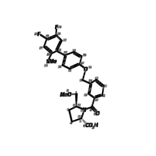 COC[C@@H]1CC[C@@H](C(=O)O)N1C(=O)c1cccc(COc2ccc(-c3cc(F)c(F)cc3SC)cc2)c1